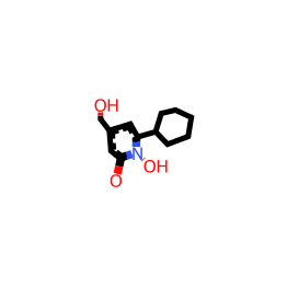 O=c1cc(CO)cc(C2CCCCC2)n1O